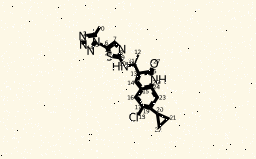 Cc1nnnn1-c1cnc(N[C@@H](C)c2cc3cc(Cl)c(C4CC4)cc3[nH]c2=O)s1